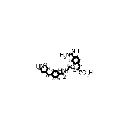 N=C(N)c1ccc(CC(=O)C(=O)O)c(OCCNC(=O)c2ccc(CC3CCNCC3)cc2)c1